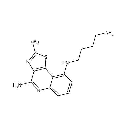 CCCCc1nc2c(N)nc3cccc(NCCCCN)c3c2s1